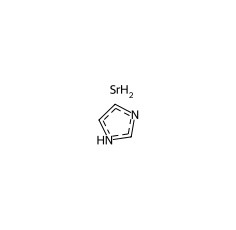 [SrH2].c1c[nH]cn1